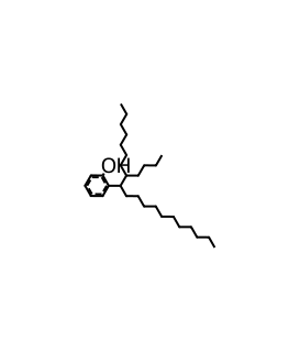 CCCCCCCCCCCC(c1ccccc1O)C(CCCC)CCCCCCC